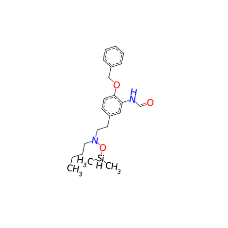 CCCCN(CCc1ccc(OCc2ccccc2)c(NC=O)c1)O[SiH](C)C